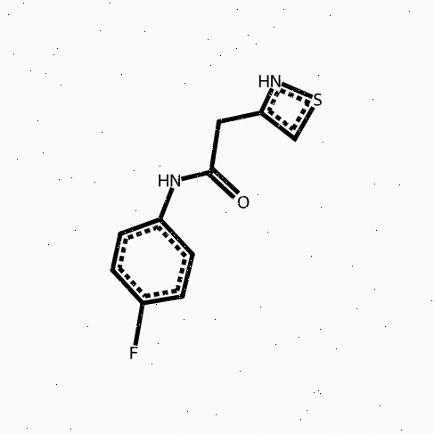 O=C(Cc1cs[nH]1)Nc1ccc(F)cc1